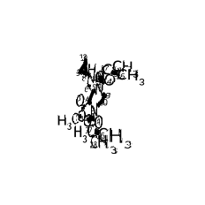 COC(=O)[C@H]1[C@H](CNC2CC2)N(C(=O)OC(C)(C)C)CCN1C(=O)OC(C)(C)C